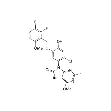 COc1ccc(F)c(F)c1COc1cc(-n2c(=O)[nH]c3c(OC)nc(C)nc32)c(Cl)cc1O